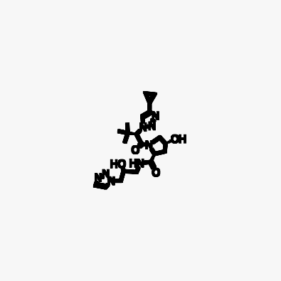 CC(C)(C)[C@H](C(=O)N1C[C@H](O)C[C@H]1C(=O)NCC(O)Cn1ccnn1)n1cc(C2CC2)nn1